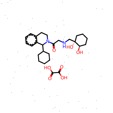 O=C(CNC[C@@]1(O)CCCC[C@H]1O)N1CCc2ccccc2C1C1CCCCC1.O=C(O)C(=O)O